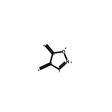 C=c1cnoc1=C